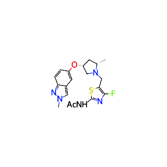 CC(=O)Nc1nc(F)c(CN2C[C@H](Oc3ccc4nn(C)cc4c3)C[C@@H]2C)s1